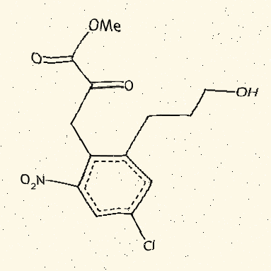 COC(=O)C(=O)Cc1c(CCCO)cc(Cl)cc1[N+](=O)[O-]